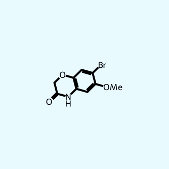 COc1cc2c(cc1Br)OCC(=O)N2